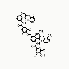 Cc1nc2c(COc3c(Cl)cc(C(=O)Nc4cccc5ncn(Cc6ncccc6Cl)c(=O)c45)nc3Cl)ccc(NC(=O)c3cc(Cl)c(O)c(Cl)n3)c2c(=O)n1Cc1cccnc1C(F)(F)F